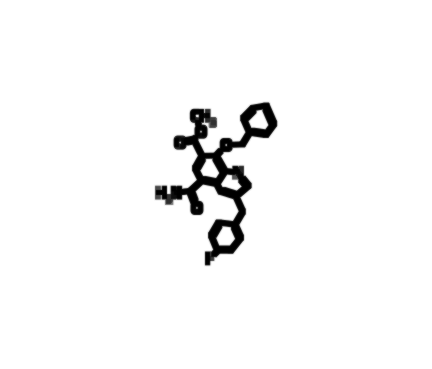 COC(=O)c1cc(C(N)=O)c2cc(Cc3ccc(F)cc3)cnc2c1OCc1ccccc1